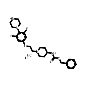 Cl.Cl.O=C(NC1CCN(CCOc2cc(F)c(N3CCNCC3)c(F)c2)CC1)OCc1ccccc1